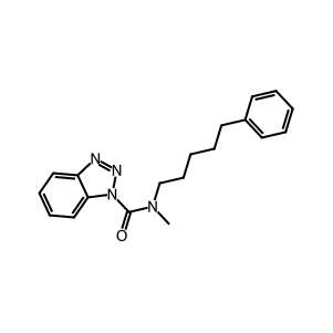 CN(CCCCCc1ccccc1)C(=O)n1nnc2ccccc21